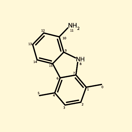 Cc1ccc(C)c2c1[nH]c1c(N)cccc12